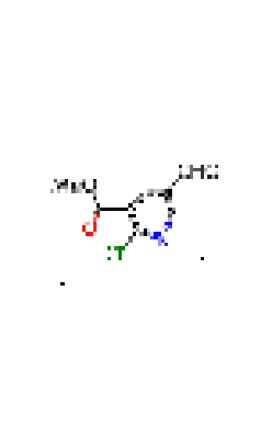 COC(=O)c1cc(C=O)cnc1Cl